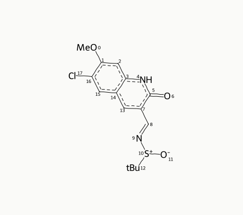 COc1cc2[nH]c(=O)c(C=N[S+]([O-])C(C)(C)C)cc2cc1Cl